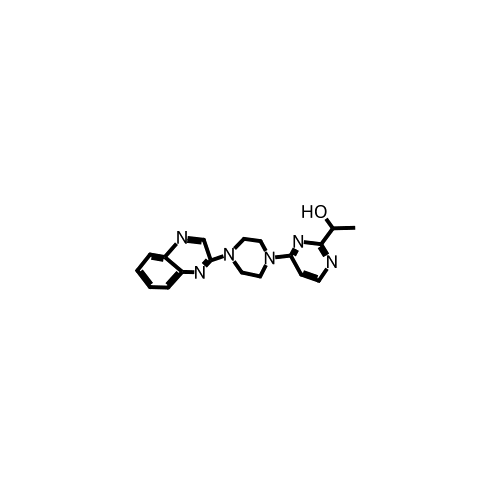 CC(O)c1nccc(N2CCN(c3cnc4ccccc4n3)CC2)n1